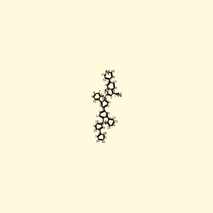 N#Cc1cc(-n2c3ccccc3c3cc(-c4ccc5c(c4)c4ccccc4n5-c4cccc(-c5ccccc5)c4)ccc32)nc2cc(-c3ccncc3)ccc12